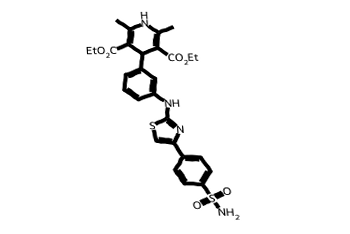 CCOC(=O)C1=C(C)NC(C)=C(C(=O)OCC)C1c1cccc(Nc2nc(-c3ccc(S(N)(=O)=O)cc3)cs2)c1